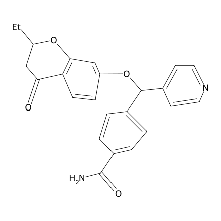 CCC1CC(=O)c2ccc(OC(c3ccncc3)c3ccc(C(N)=O)cc3)cc2O1